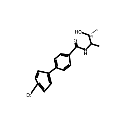 CCc1ccc(-c2ccc(C(=O)NC(C)[C@@H](C)O)cc2)cc1